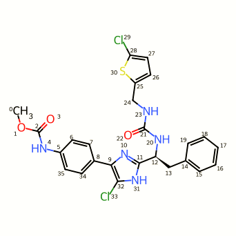 COC(=O)Nc1ccc(-c2nc([C@H](Cc3ccccc3)NC(=O)NCc3ccc(Cl)s3)[nH]c2Cl)cc1